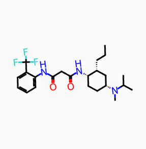 CCC[C@@H]1C[C@H](N(C)C(C)C)CC[C@@H]1NC(=O)CC(=O)Nc1ccccc1C(F)(F)F